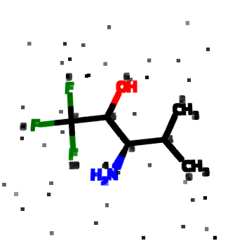 CC(C)[C@@H](N)C(O)C(F)(F)F